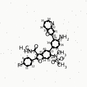 CNC(=O)c1c(-c2ccc(F)cc2)oc2cc(N(C)S(C)(=O)=O)c(-c3ccc(N)c(-c4cc5ncccc5o4)c3)cc12